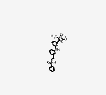 Cc1c(-c2ccnc(Nc3cccc(CCNC(=O)c4ccccc4)c3)n2)sc(=O)n1C